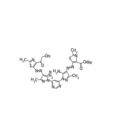 COC(=O)c1nc(C)sc1/N=N/c1c(C)nn(-c2cc(-n3nc(C)c(/N=N/c4sc(C)nc4C(=O)CO)c3N)ncn2)c1N